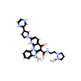 CN1CCCN1CCNC(=O)c1c(=O)c2ccc(N3CCC(c4cnccn4)C3)nc2n2c3ccccc3n(C)c12